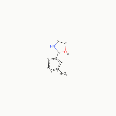 O=[N+]([O-])c1cccc(C2NCCO2)c1